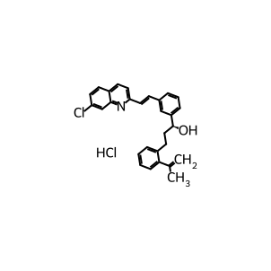 C=C(C)c1ccccc1CC[C@H](O)c1cccc(/C=C/c2ccc3ccc(Cl)cc3n2)c1.Cl